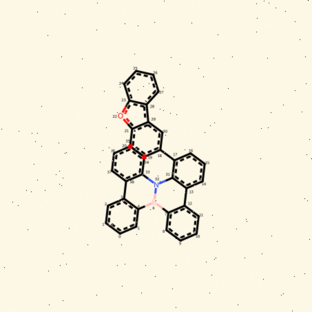 c1ccc2c(c1)B1c3ccccc3-c3cccc(-c4ccc5oc6ccccc6c5c4)c3N1c1ccccc1-2